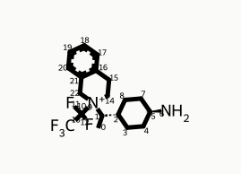 CC([C@H]1CC[C@H](N)CC1)[N+]1(C(F)(F)C(F)(F)F)CCc2ccccc2C1